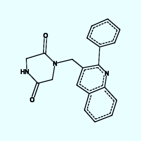 O=C1CN(Cc2cc3ccccc3nc2-c2ccccc2)C(=O)CN1